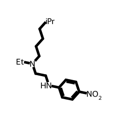 CCN(CCCCC(C)C)CCNc1ccc([N+](=O)[O-])cc1